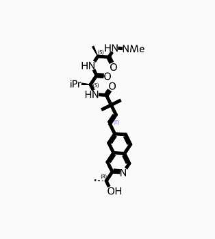 CNNC(=O)[C@H](C)NC(=O)[C@@H](NC(=O)C(C)(C)/C=C/c1ccc2cnc([C@@H](C)O)cc2c1)C(C)C